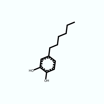 CCCCCCc1ccc(O)c(O)c1